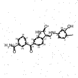 Cc1ccc(NC=C2C(=O)Nc3cc(C(=O)c4cccc(C(N)=O)c4)ccc32)cc1O